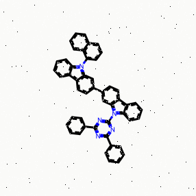 c1ccc(-c2nc(-c3ccccc3)nc(-n3c4ccccc4c4ccc(-c5ccc6c7ccccc7n(-c7cccc8ccccc78)c6c5)cc43)n2)cc1